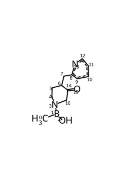 CB(O)N1CCC(Cc2ccccn2)C(=O)C1